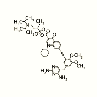 CCC(CCN(C(C)C)C(C)C)S(=O)(=O)OC(=O)c1cn(C2CCCCC2)c2cc(C#Cc3cc(Cc4cnc(N)nc4N)cc(OC)c3OC)ccc2c1=O